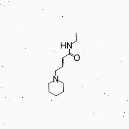 CCNC(=O)/C=C/CN1CCCCC1